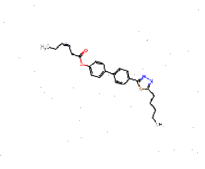 CC/C=C\CC(=O)Oc1ccc(-c2ccc(-c3nnc(CCCCC)s3)cc2)cc1